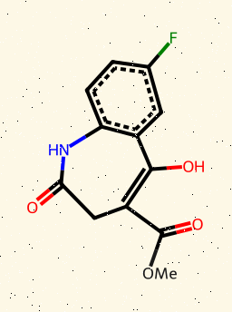 COC(=O)C1=C(O)c2cc(F)ccc2NC(=O)C1